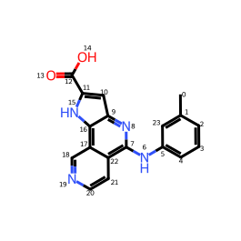 Cc1cccc(Nc2nc3cc(C(=O)O)[nH]c3c3cnccc23)c1